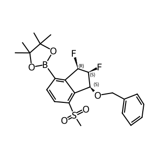 CC1(C)OB(c2ccc(S(C)(=O)=O)c3c2[C@@H](F)[C@@H](F)[C@H]3OCc2ccccc2)OC1(C)C